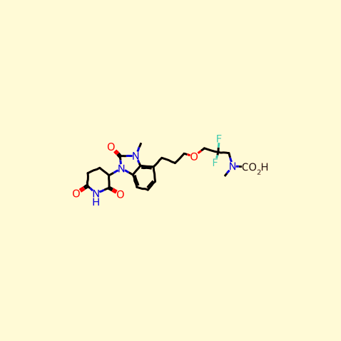 CN(CC(F)(F)COCCCc1cccc2c1n(C)c(=O)n2C1CCC(=O)NC1=O)C(=O)O